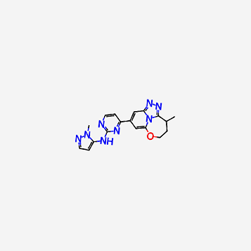 CC1CCOc2cc(-c3ccnc(Nc4ccnn4C)n3)cc3nnc1n23